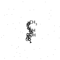 CCN1CCN(Cc2ccc(-c3cc4c(-c5cccc(N6CCOc7cc(C8CC8)ccc7C6=O)c5CO)ccnc4[nH]3)nc2)CC1